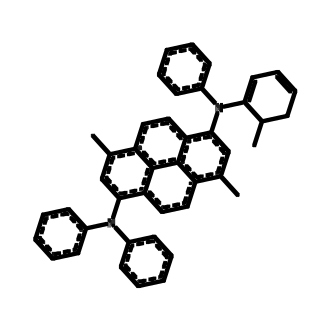 Cc1cc(N(C2=CC=CCC2C)c2ccccc2)c2ccc3c(C)cc(N(c4ccccc4)c4ccccc4)c4ccc1c2c34